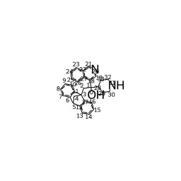 OC(CC12CC(c3ccccc31)c1ccccc12)(c1cncc2ccccc12)C1CCNCC1